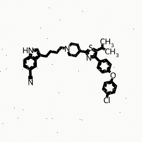 CC(C)c1sc(C2CCN(CCCCc3c[nH]c4ccc(C#N)cc34)CC2)nc1-c1ccc(Oc2ccc(Cl)cc2)cc1